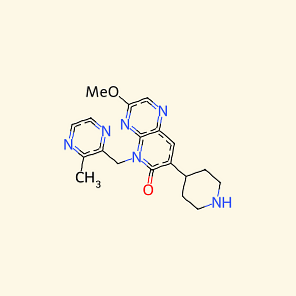 COc1cnc2cc(C3CCNCC3)c(=O)n(Cc3nccnc3C)c2n1